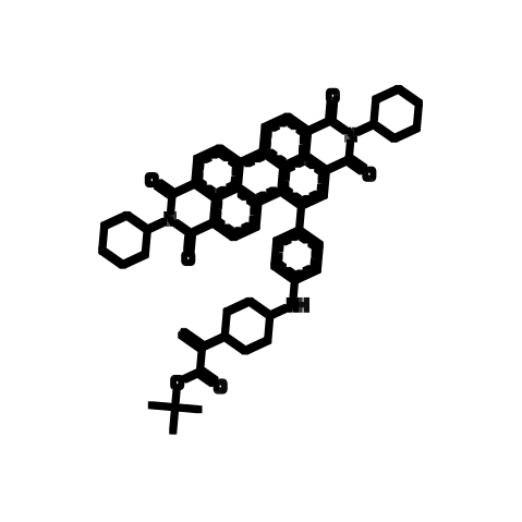 C=C(C(=O)OC(C)(C)C)C1CCC(Nc2ccc(-c3cc4c5c(ccc6c7ccc8c9c(ccc(c3c56)c97)C(=O)N(C3CCCCC3)C8=O)C(=O)N(C3CCCCC3)C4=O)cc2)CC1